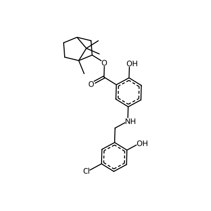 CC1(C)C2CCC1(C)C(OC(=O)c1cc(NCc3cc(Cl)ccc3O)ccc1O)C2